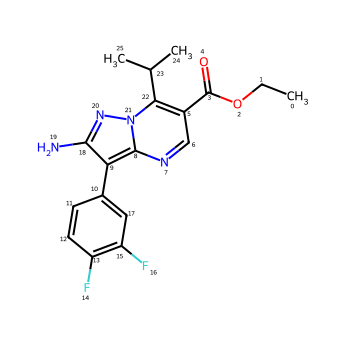 CCOC(=O)c1cnc2c(-c3ccc(F)c(F)c3)c(N)nn2c1C(C)C